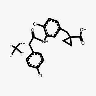 O=C(Nc1cc(CC2(C(=O)O)CC2)ccc1Cl)[C@@H](CC(F)(F)F)c1ccc(Cl)cc1